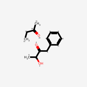 CC(O)C(=O)Cc1ccccc1.CCC(C)=O